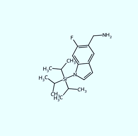 CC(C)[Si](C(C)C)(C(C)C)n1ccc2cc(CN)c(F)cc21